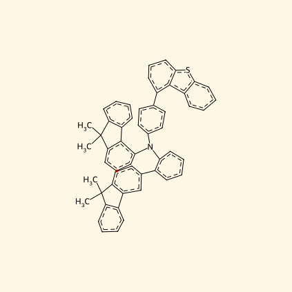 CC1(C)c2ccccc2-c2cc(-c3ccccc3N(c3ccc(-c4cccc5sc6ccccc6c45)cc3)c3cccc4c3-c3ccccc3C4(C)C)ccc21